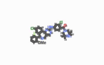 COc1cccc(F)c1C1=NCc2cnc(Nc3ccc(C(=O)N4CC(C)(C)NC(C)(C)C4)c(Cl)c3)nc2-c2ccc(Cl)cc21